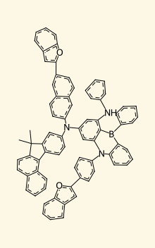 CC1(C)c2cc(N(c3cc(Nc4ccccc4)c4c(c3)N(c3ccc(-c5cc6ccccc6o5)cc3)c3ccccc3B4c3ccccc3)c3ccc4cc(-c5cc6ccccc6o5)ccc4c3)ccc2-c2c1ccc1ccccc21